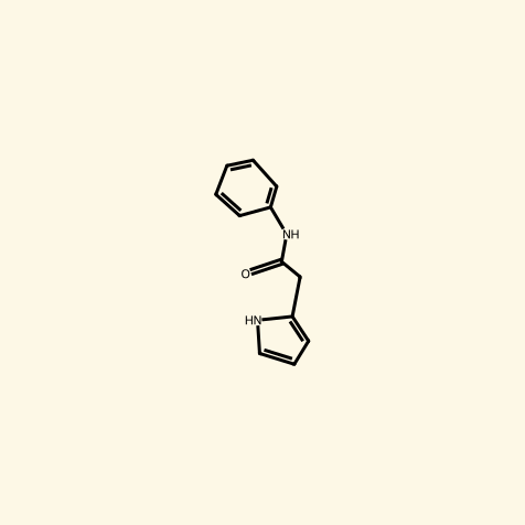 O=C(Cc1ccc[nH]1)Nc1ccccc1